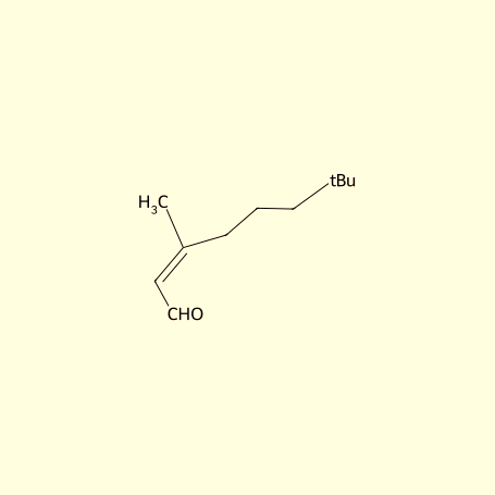 CC(=CC=O)CCCC(C)(C)C